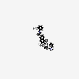 C/N=C(/NCC(C)NC(=O)c1c(Cl)cc2c(c1Cl)CCN(C(=O)/C=C/c1ccccc1O)C2)N1CCCC1